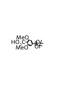 COc1cc(B2OC(C)(C)C(C)(C)O2)cc(OC)c1C(=O)O